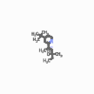 CCC(C)(C)/C=C(\C)c1cc(C(C)(C)C)ccn1